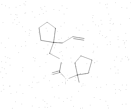 C=CCC1(COC(=O)NC2(OC(C)=O)CCCC2)CCCC1